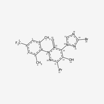 Cc1cc(C(F)(F)F)cc(C)c1-n1nc(C(C)C)c(O)c(-n2cnc(Br)n2)c1=O